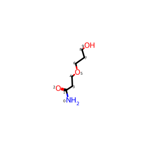 NC(=O)CCOCCCO